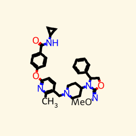 CON=C1OCC(c2ccccc2)N1C1CCN(Cc2ccc(Oc3ccc(C(=O)NC4CC4)cc3)nc2C)CC1